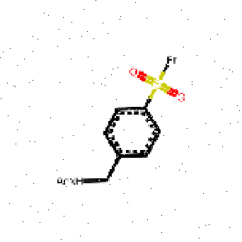 CCS(=O)(=O)c1ccc(CNC(C)=O)cc1